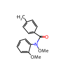 [CH2]c1ccc(C(=O)N(OC)c2ccccc2OC)cc1